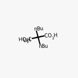 CCCCC(CCCC)(C(=O)O)C(=O)O.[LiH]